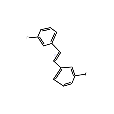 Fc1cccc(/C=C/c2cccc(F)c2)c1